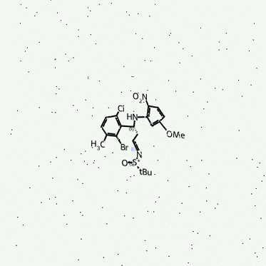 COc1ccc([N+](=O)[O-])c(N[C@H](C/C=N/[S@+]([O-])C(C)(C)C)c2c(Cl)ccc(C)c2Br)c1